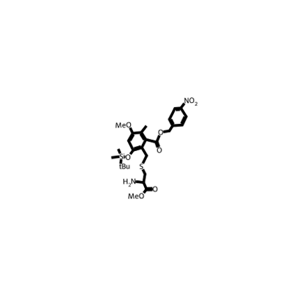 COC(=O)C(N)CSCc1c(O[Si](C)(C)C(C)(C)C)cc(OC)c(C)c1C(=O)OCc1ccc([N+](=O)[O-])cc1